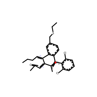 CCC/C=C(\C(=C/C(C)=O)C(C)N)c1cc(CSCC)ccc1C(=O)c1c(Cl)cccc1Cl